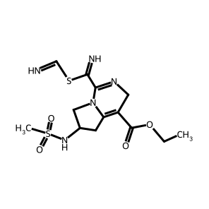 CCOC(=O)C1=C2CC(NS(C)(=O)=O)CN2C(C(=N)SC=N)=NC1